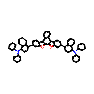 C1=Cc2c(N(c3ccccc3)c3ccccc3)ccc(-c3ccc4c(c3)oc3c5oc6cc(-c7ccc(N(c8ccccc8)c8ccccc8)c8ccccc78)ccc6c5c5ccccc5c43)c2CC1